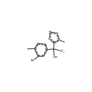 Cc1ccc(C(O)(c2nnnn2C)C(F)(F)F)cc1Br